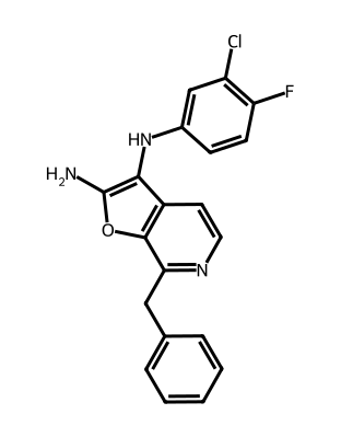 Nc1oc2c(Cc3ccccc3)nccc2c1Nc1ccc(F)c(Cl)c1